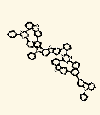 c1ccc(-c2nc(-c3ccccc3)nc(-c3cccc4oc5ccc(-c6ccc7c(c6)c6c8sc9cc(-c%10ccccc%10-c%10nc(-c%11ccccc%11)nc(-c%11cccc%12oc%13ccc(-c%14cccc(-c%15ccc%16c(c%15)c%15ccccc%15n%16-c%15ccccc%15)c%14)cc%13c%11%12)n%10)ccc9c8ccc6n7-c6ccccc6)cc5c34)n2)cc1